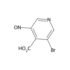 O=Nc1cncc(Br)c1C(=O)O